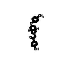 Cc1ccc(O[C@@H]2C[C@@H]3CN(CC(=O)c4ccc(O)cc4)C[C@@H]3C2)cc1